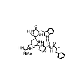 CNC(=N)NCCC[C@H](NC(=O)[C@H](CC(C)C)NC(=O)NNC(=O)[C@@H](C)Cc1ccccc1)C(=O)N[C@@H](Cc1c[nH]c2ccccc12)C(N)=O